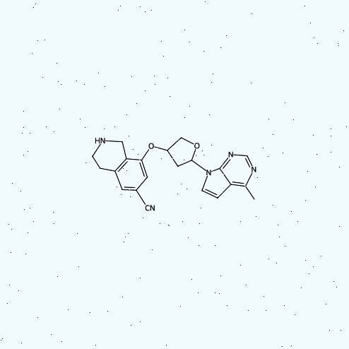 Cc1ncnc2c1ccn2C1CC(Oc2cc(C#N)cc3c2CNCC3)CO1